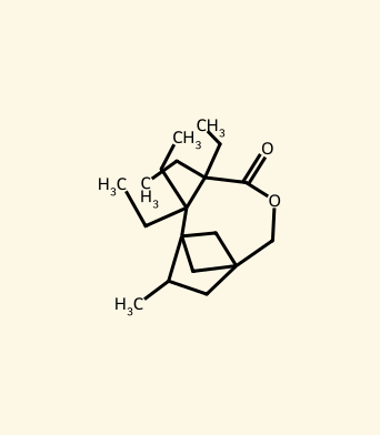 CCC1(CC)C(=O)OCC23CC(C)C(C2)(C3)C1(CC)CC